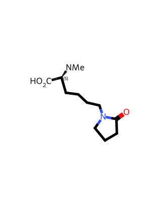 CN[C@@H](CCCCN1CCCC1=O)C(=O)O